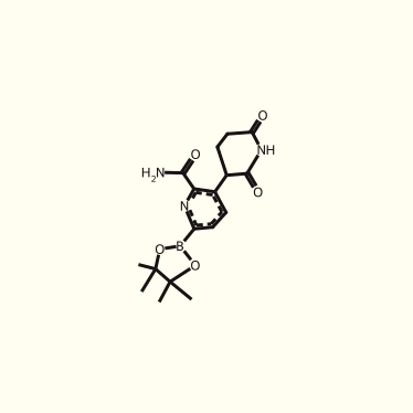 CC1(C)OB(c2ccc(C3CCC(=O)NC3=O)c(C(N)=O)n2)OC1(C)C